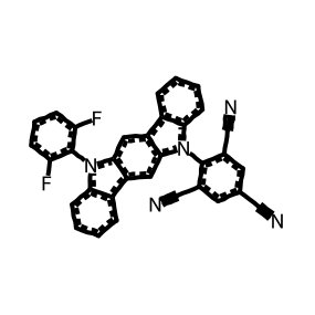 N#Cc1cc(C#N)c(-n2c3ccccc3c3cc4c(cc32)c2ccccc2n4-c2c(F)cccc2F)c(C#N)c1